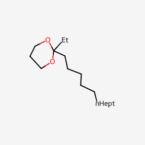 CCCCCCCCCCCCC1(CC)OCCCO1